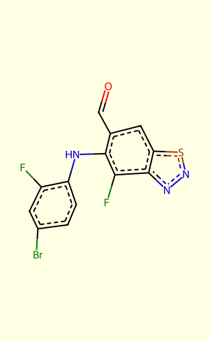 O=Cc1cc2snnc2c(F)c1Nc1ccc(Br)cc1F